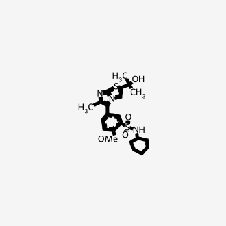 COc1ccc(-c2c(C)nc3sc(C(C)(C)O)cn23)cc1S(=O)(=O)NC1CCCCC1